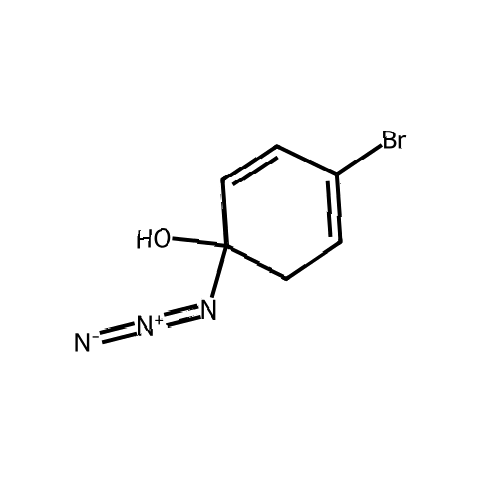 [N-]=[N+]=NC1(O)C=CC(Br)=CC1